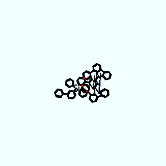 c1ccc(-c2cccc([Si](c3ccccc3)(c3ccccc3)c3cccc(-c4nc(-n5c6ccccc6c6cccc(-c7ccccc7)c65)nc(-n5c6ccccc6c6cccc(-c7ccccc7)c65)n4)c3)c2)cc1